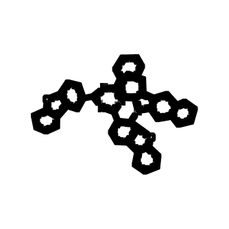 c1ccc(-c2nc(-c3ccc4oc5ccccc5c4c3)nc(-c3ccc4c(oc5ccccc54)c3-n3c4ccccc4c4cc5ccccc5cc43)n2)cc1